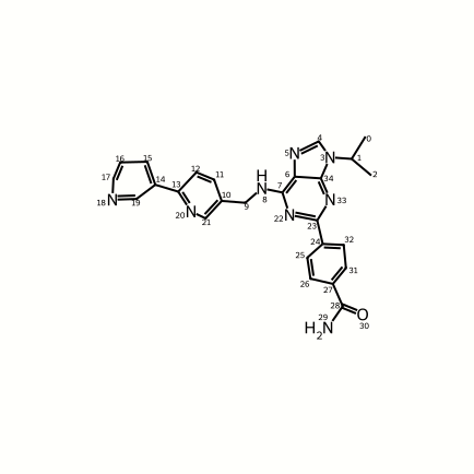 CC(C)n1cnc2c(NCc3ccc(-c4cccnc4)nc3)nc(-c3ccc(C(N)=O)cc3)nc21